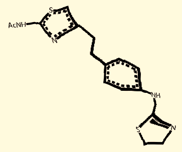 CC(=O)Nc1nc(CCc2ccc(NC3=NCCS3)cc2)cs1